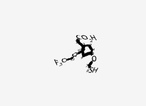 O=C(O)Cc1ccc(OCS)cc1OCC(F)(F)F